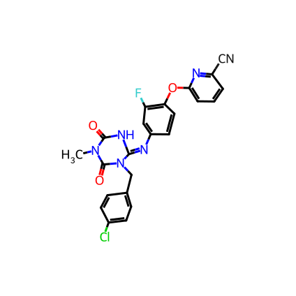 Cn1c(=O)[nH]/c(=N\c2ccc(Oc3cccc(C#N)n3)c(F)c2)n(Cc2ccc(Cl)cc2)c1=O